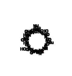 CCCC[C@H]1C(=O)N(C)CC(=O)N[C@@H](CC(=O)O)C(=O)N[C@@H](C(C)C)C(=O)N(C)[C@@H](Cc2ccccc2)C(=O)N[C@@H](Cc2ccc(O)cc2)C(=O)N(C)CC(=O)N[C@@H](Cc2c[nH]c3ccccc23)C(=O)N[C@@H](Cc2ccc(O)cc2)C(=O)N[C@@H](CC(C)C)C(=O)N[C@H](C(=O)NCC(N)=O)CCC(=O)NC(C=O)CN[C@@H](Cc2ccccc2)C(=O)N(C)[C@@H](Cc2ccccc2)C(=O)N1C